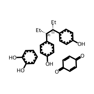 CC[C@H](c1ccc(O)cc1)[C@@H](CC)c1ccc(O)cc1.O=C1C=CC(=O)C=C1.Oc1ccccc1O